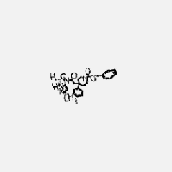 Cc1cc(N(C)C(=O)CC2(c3ccccc3)CCN(C(=O)OCc3ccccc3)CC2)[nH]n1